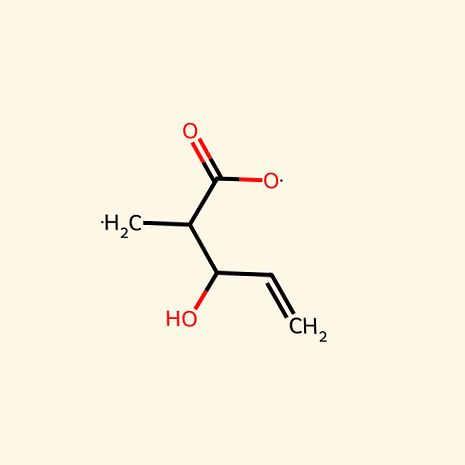 [CH2]C(C([O])=O)C(O)C=C